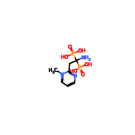 C[n+]1cccnc1CC(N)(P(=O)(O)O)P(=O)(O)O